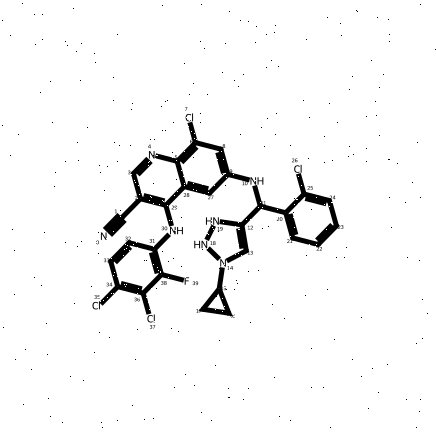 N#Cc1cnc2c(Cl)cc(NC(C3=CN(C4CC4)NN3)c3ccccc3Cl)cc2c1Nc1ccc(Cl)c(Cl)c1F